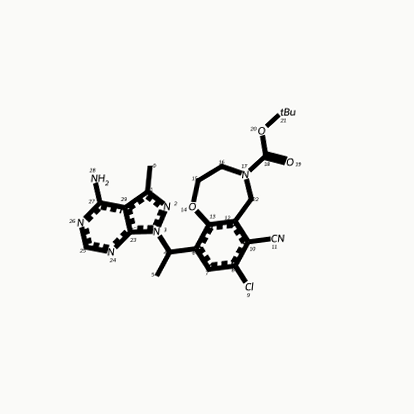 Cc1nn(C(C)c2cc(Cl)c(C#N)c3c2OCCN(C(=O)OC(C)(C)C)C3)c2ncnc(N)c12